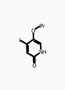 CC(C)Oc1c[nH]c(=O)cc1I